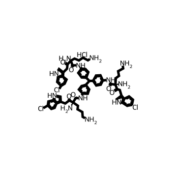 Cl.NCCCC[C@](N)(C(=O)Cc1c[nH]c2cc(Cl)ccc12)C(=O)Nc1ccc(C(c2ccc(NC(=O)[C@](N)(CCCCN)C(=O)Cc3c[nH]c4cc(Cl)ccc34)cc2)c2ccc(NC(=O)[C@](N)(CCCCN)C(=O)Cc3c[nH]c4cc(Cl)ccc34)cc2)cc1